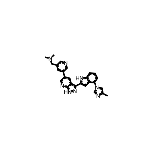 Cc1cn(-c2cccc3[nH]c(-c4n[nH]c5ncc(-c6cncc(CN(C)C)c6)cc45)cc23)cn1